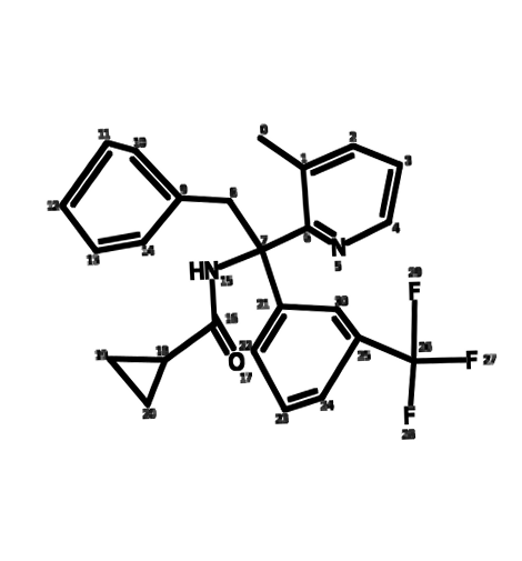 Cc1cccnc1C(Cc1ccccc1)(NC(=O)C1CC1)c1cccc(C(F)(F)F)c1